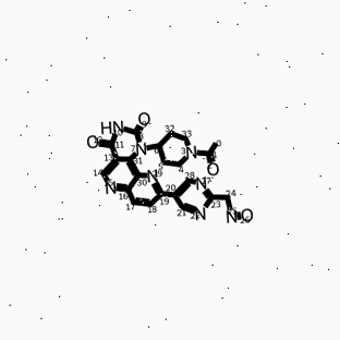 CC(=O)N1CCC(n2c(=O)[nH]c(=O)c3cnc4ccc(-c5cnc(CN=O)nc5)nc4c32)CC1